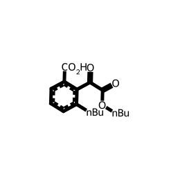 CCCCOC(=O)C(=O)c1c(CCCC)cccc1C(=O)O